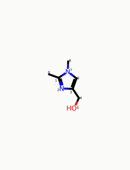 Cc1nc(CO)cn1C